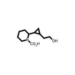 O=C(O)N1CCCCC1C1CC1CCO